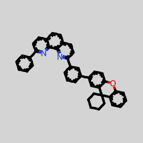 c1ccc(-c2ccc3ccc4ccc(-c5cccc(-c6ccc7c(c6)C6(CCCCC6)c6ccccc6O7)c5)nc4c3n2)cc1